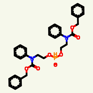 O=C(OCc1ccccc1)N(CCO[PH](=O)OCCN(C(=O)OCc1ccccc1)c1ccccc1)c1ccccc1